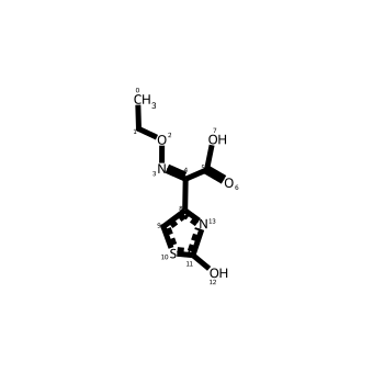 CCON=C(C(=O)O)c1csc(O)n1